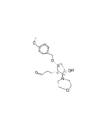 COc1ccc(CO[C@@H]2C[C@H](O)[C@@H](N3CCOCC3)[C@@H]2CCC=O)cc1